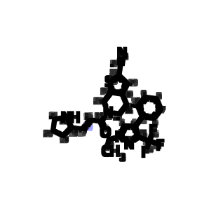 CCn1cc(-c2ccccc2[C@@H]2CN(C(=O)/C=C/[C@H]3CCCN3)Cc3sc(C#N)cc32)c(C(F)(F)F)n1